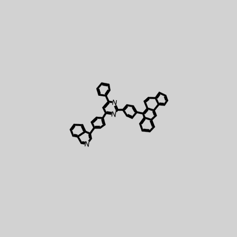 c1ccc(-c2cc(-c3ccc(-c4cncc5ccccc45)cc3)nc(-c3ccc(-c4c5ccccc5cc5c4ccc4ccccc45)cc3)n2)cc1